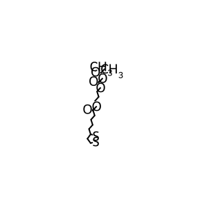 COC(C)OC(=O)OCCCOC(=O)CCCCC1CCSS1